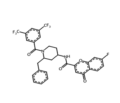 O=C(NC1CCN(C(=O)c2cc(C(F)(F)F)cc(C(F)(F)F)c2)C(Cc2ccccc2)C1)c1cc(=O)c2ccc(F)cc2o1